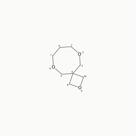 C1COCC2(COC1)COC2